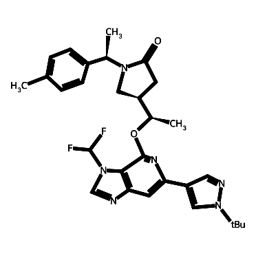 Cc1ccc([C@@H](C)N2C[C@H]([C@@H](C)Oc3nc(-c4cnn(C(C)(C)C)c4)cc4ncn(C(F)F)c34)CC2=O)cc1